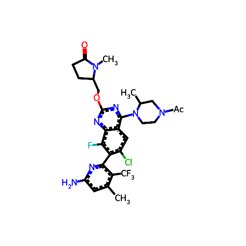 CC(=O)N1CCN(c2nc(OCC3CCC(=O)N3C)nc3c(F)c(-c4nc(N)cc(C)c4C(F)(F)F)c(Cl)cc23)C(C)C1